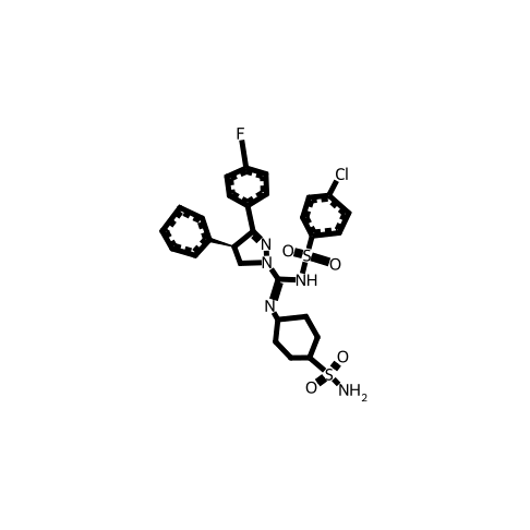 NS(=O)(=O)C1CCC(/N=C(\NS(=O)(=O)c2ccc(Cl)cc2)N2C[C@@H](c3ccccc3)C(c3ccc(F)cc3)=N2)CC1